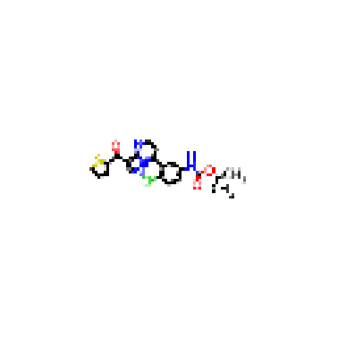 CC(C)OC(=O)Nc1ccc(Cl)c(-c2ccnc3c(C(=O)c4cccs4)cnn23)c1